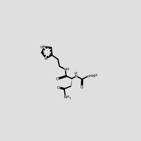 CCCCCCCC(=O)N[C@H](CC(N)=O)C(=O)NCCc1c[nH]cn1